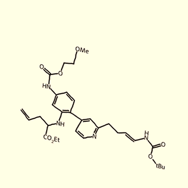 C=CCC(Nc1cc(NC(=O)OCCOC)ccc1-c1ccnc(CCC=CNC(=O)OC(C)(C)C)c1)C(=O)OCC